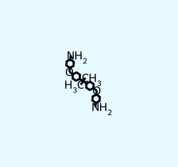 CC(C)(C1CCC(OC2CCC(N)CC2)CC1)C1CCC(OC2CCC(N)CC2)CC1